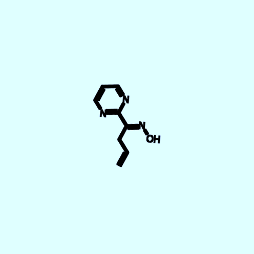 C=CCC(=NO)c1ncccn1